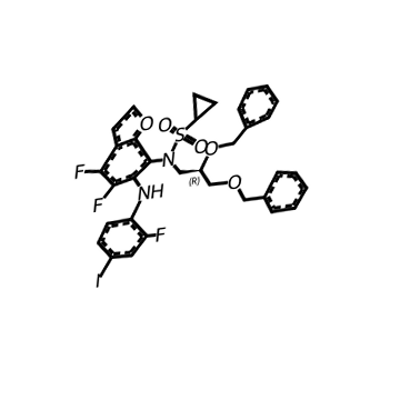 O=S(=O)(C1CC1)N(C[C@H](COCc1ccccc1)OCc1ccccc1)c1c(Nc2ccc(I)cc2F)c(F)c(F)c2ccoc12